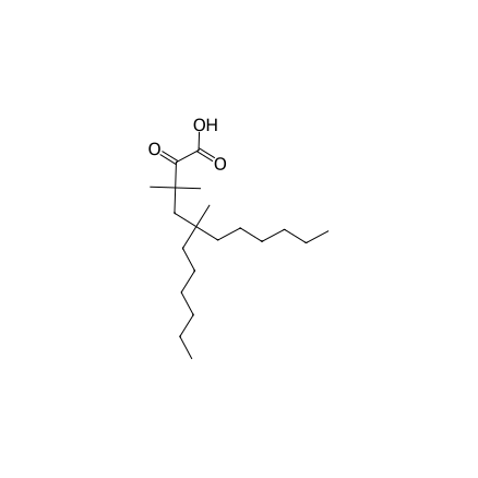 CCCCCCC(C)(CCCCCC)CC(C)(C)C(=O)C(=O)O